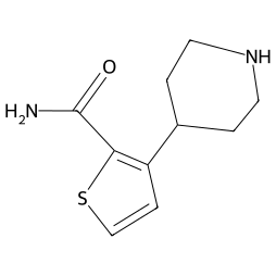 NC(=O)c1sccc1C1CCNCC1